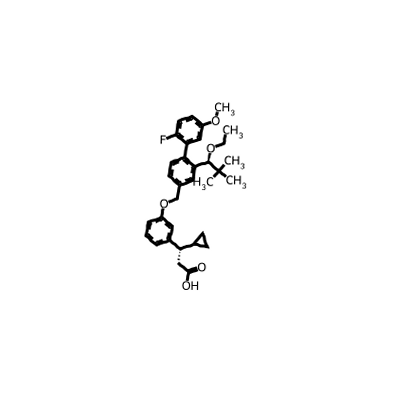 CCO[C@H](c1cc(COc2cccc([C@@H](CC(=O)O)C3CC3)c2)ccc1-c1cc(OC)ccc1F)C(C)(C)C